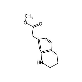 COC(=O)Cc1ccc2c(c1)NCCC2